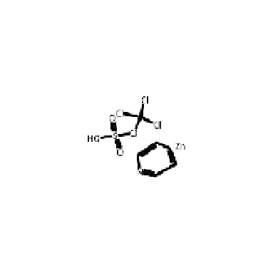 O=S(=O)(O)OC(Cl)(Cl)Cl.[Zn].c1ccncc1